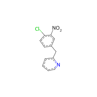 O=[N+]([O-])c1cc(Cc2ccccn2)ccc1Cl